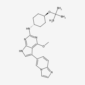 BC(B)(B)O[C@H]1CC[C@H](Nc2nc(OC)c3c(-c4ccc5nccn5c4)c[nH]c3n2)CC1